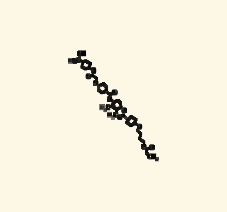 C=CC(=O)OCCCCOc1ccc(C(=O)Oc2ccc(OC(=O)c3ccc(OCC(=O)Oc4ccc(B(O)O)cc4)cc3)c(C)c2C)cc1